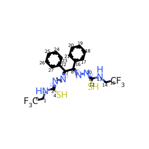 FC(F)(F)CN/C(S)=N/N=C(/C(=N/N=C(\S)NCC(F)(F)F)c1ccccc1)c1ccccc1